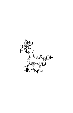 CCCCS(=O)(=O)NC1CC(C2=CB(O)Oc3cnc4[nH]ccc4c32)C1